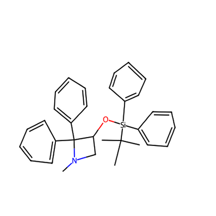 CN1CC(O[Si](c2ccccc2)(c2ccccc2)C(C)(C)C)C1(c1ccccc1)c1ccccc1